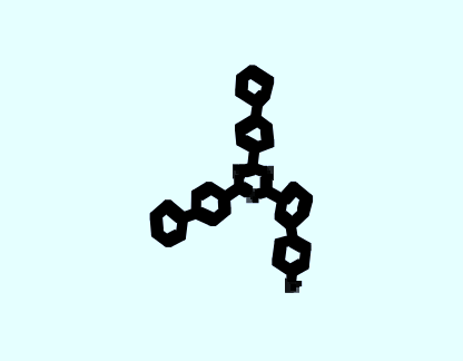 Brc1ccc(-c2cccc(-c3nc(-c4ccc(-c5ccccc5)cc4)nc(-c4ccc(-c5ccccc5)cc4)n3)c2)cc1